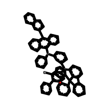 Clc1cc(N(c2cccc(N(c3ccccc3)c3c4ccccc4c(-c4ccc5ccccc5c4)c4ccccc34)c2)c2cccc3c2C2(c4ccccc4-c4ccccc42)c2ccccc2-3)ccc1-c1ccccc1